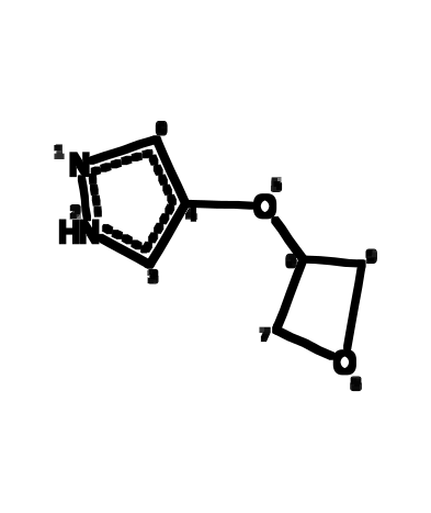 c1n[nH]cc1OC1COC1